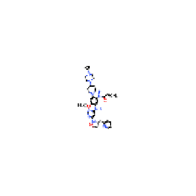 C=CC(=O)Nc1cc(Nc2cc(N3OCCC3Cc3ccccn3)ncn2)c(OC)cc1N1CCC(N2CCN(C3CC3)CC2)CC1